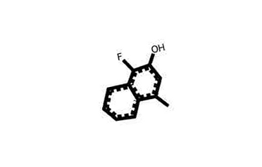 Cc1cc(O)c(F)c2ccccc12